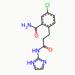 NC(=O)c1cc(Cl)ccc1C[CH]C(=O)Nc1ncc[nH]1